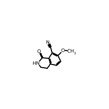 COc1ccc2c(c1C#N)C(=O)NCC2